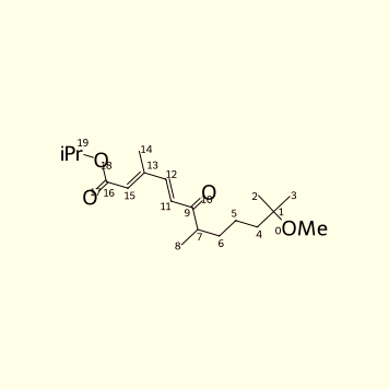 COC(C)(C)CCCC(C)C(=O)C=CC(C)=CC(=O)OC(C)C